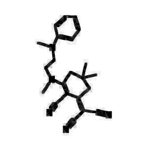 CN(CCN(C)c1ccccc1)C1=C(C#N)C(=C(C#N)C#N)CC(C)(C)C1